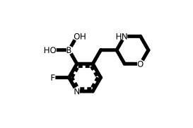 OB(O)c1c(CC2COCCN2)ccnc1F